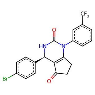 O=C1CCC2=C1[C@@H](c1ccc(Br)cc1)NC(=O)N2c1cccc(C(F)(F)F)c1